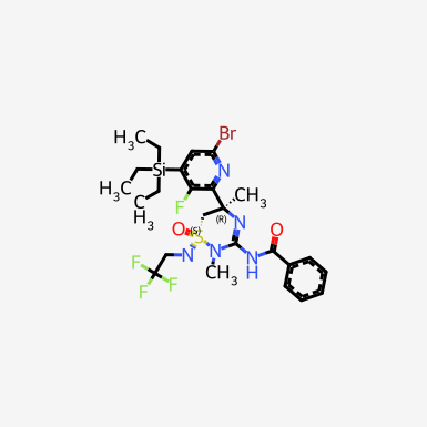 CC[Si](CC)(CC)c1cc(Br)nc([C@]2(C)C[S@@](=O)(=NCC(F)(F)F)N(C)C(NC(=O)c3ccccc3)=N2)c1F